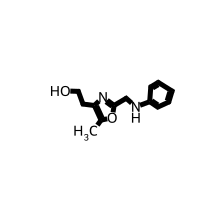 Cc1oc(CNc2ccccc2)nc1CCO